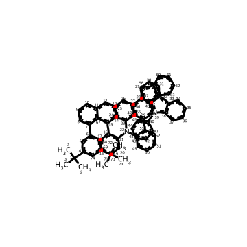 CC(C)(C)c1cc(-c2cccc3cccc(-c4ccccc4N(c4cccc(-c5cccc6c7ccccc7n(-c7ccccc7)c56)c4)c4ccccc4-c4ccc5oc6ccccc6c5c4)c23)cc(C(C)(C)C)c1